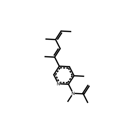 C=C(C)N(C)c1ncc(/C(C)=C/C(C)=C\C)cc1C